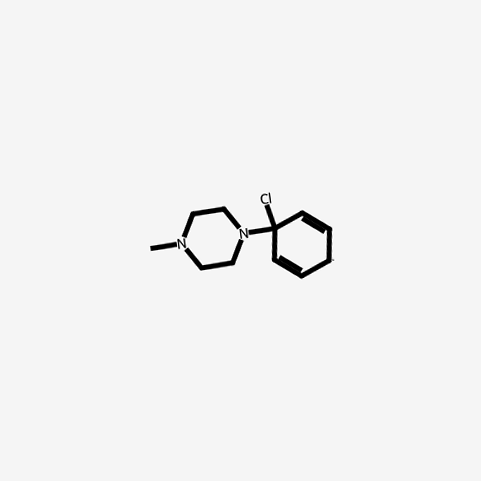 CN1CCN(C2(Cl)C=C[CH]C=C2)CC1